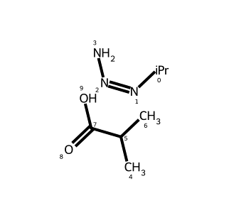 CC(C)/N=N\N.CC(C)C(=O)O